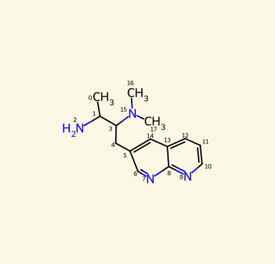 CC(N)C(Cc1cnc2ncccc2c1)N(C)C